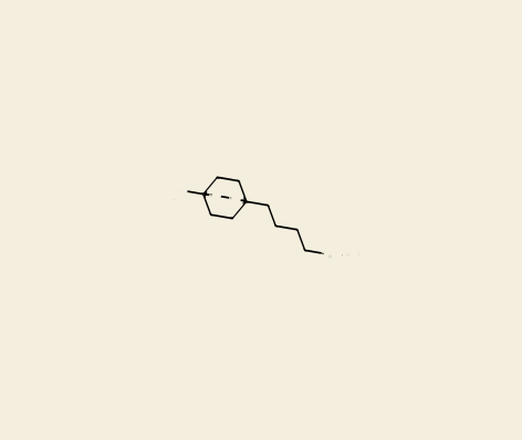 [CH2]C12CCC(CCCCCCCCCCC)(CC1)CC2